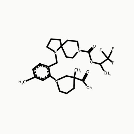 Cc1ccc(CN2CCCC23CCN(C(=O)OC(C)C(F)(F)F)CC3)c(N2CCCC(C)(C(=O)O)C2)c1